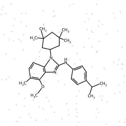 COc1c(C)ccc2c1nc(Nc1ccc(C(C)C)cc1)n2C1CC(C)(C)CC(C)(C)C1